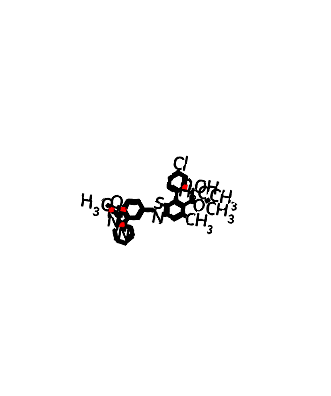 Cc1cc2nc(-c3ccc4c(c3)c(N3C5CC3CN(C3COC3)C5)nn4C)sc2c(-c2ccc(Cl)cc2)c1[C@H](OC(C)(C)C)C(=O)O